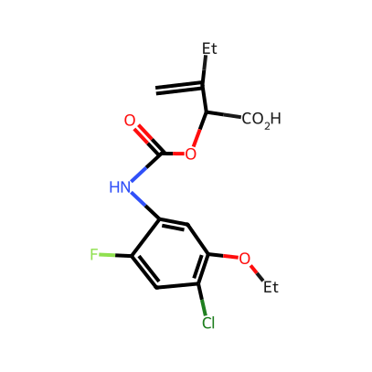 C=C(CC)C(OC(=O)Nc1cc(OCC)c(Cl)cc1F)C(=O)O